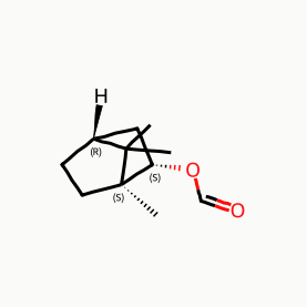 CC1(C)[C@@H]2CC[C@]1(C)[C@@H](OC=O)C2